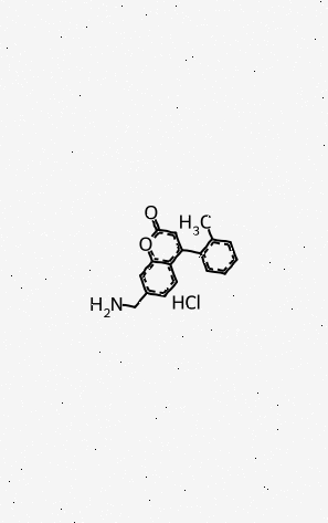 Cc1ccccc1-c1cc(=O)oc2cc(CN)ccc12.Cl